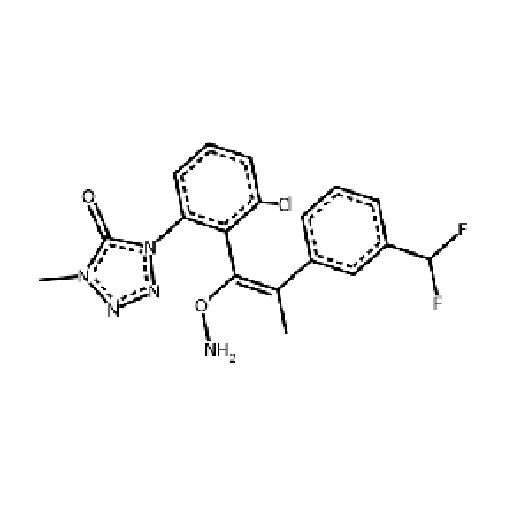 C/C(=C(\ON)c1c(Cl)cccc1-n1nnn(C)c1=O)c1cccc(C(F)F)c1